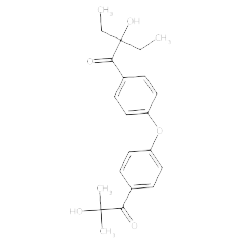 CCC(O)(CC)C(=O)c1ccc(Oc2ccc(C(=O)C(C)(C)O)cc2)cc1